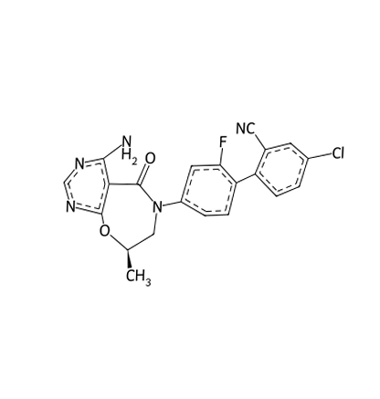 C[C@@H]1CN(c2ccc(-c3ccc(Cl)cc3C#N)c(F)c2)C(=O)c2c(N)ncnc2O1